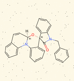 O=C1N(Cc2ccccc2)c2ccccc2[C@@]12O[C@@H]1C=Cc3ccccc3N1c1ccccc12